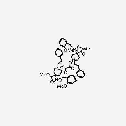 COC(=O)C1(N(OCc2ccccc2OC)C(C)=O)CC[N+](CCc2ccccc2)(OC(=O)C(=O)O[N+]2(CCc3ccccc3)CCC(C(=O)OC)(N(OCc3ccccc3OC)C(C)=O)CC2)CC1